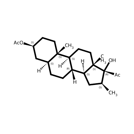 CC(=O)O[C@H]1CC[C@@]2(C)[C@@H](CC[C@@H]3[C@@H]2CC[C@@]2(C)[C@H]3C[C@H](C)[C@]2(O)C(C)=O)C1